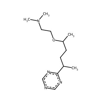 CC(CCC(C)c1ncncn1)OCCN(C)C